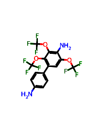 Nc1ccc(-c2cc(OC(F)(F)F)c(N)c(OC(F)(F)F)c2OC(F)(F)F)cc1